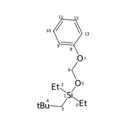 CC[Si](CC)(CC(C)(C)C)OCOc1ccccc1